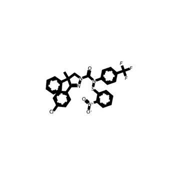 CC1(c2ccccc2)CN(C(=O)N(Sc2ccccc2[N+](=O)[O-])c2ccc(C(F)(F)F)cc2)N=C1c1ccc(Cl)cc1